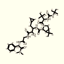 CN(C)C(=O)[C@@H](NC(=O)CNC(=O)C(O)C(CC1CC1)NC(=O)[C@@H]1C2C(CN1C(=O)C(NC(=O)OC(C)(C)C)C(C)(C)C)C2(C)C)c1ccccc1